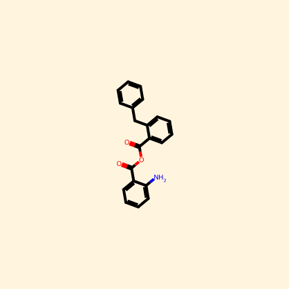 Nc1ccccc1C(=O)OC(=O)c1ccccc1Cc1ccccc1